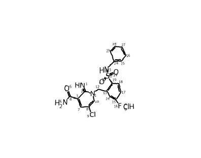 Cl.N=c1c(C(N)=O)cc(Cl)cn1Cc1cc(F)ccc1S(=O)(=O)Nc1ccccc1